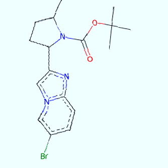 CC1CCC(c2cn3cc(Br)ccc3n2)N1C(=O)OC(C)(C)C